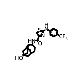 O=C(N[C@H]1CCC2CC3C[C@@](O)(C2)CC31)c1csc(Nc2ccc(C(F)(F)F)cc2)n1